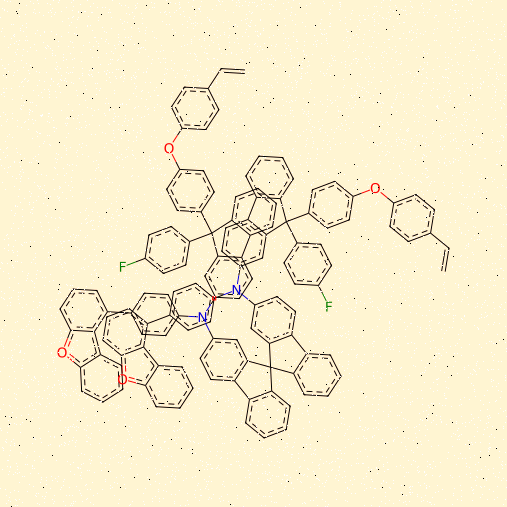 C=Cc1ccc(Oc2ccc(C3(c4ccc(F)cc4)c4ccccc4-c4ccc(N(c5ccc(-c6cccc7oc8ccccc8c67)cc5)c5ccc6c(c5)C5(c7ccccc7-6)c6ccccc6-c6ccc(N(c7ccc(-c8cccc9oc%10ccccc%10c89)cc7)c7ccc8c(c7)C(c7ccc(F)cc7)(c7ccc(Oc9ccc(C=C)cc9)cc7)c7ccccc7-8)cc65)cc43)cc2)cc1